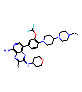 CCc1nc2c(N)ncc(-c3ccc(N4CCC(N5CCN(C)CC5)CC4)c(OC(F)F)c3)c2nc1NC1CCOCC1